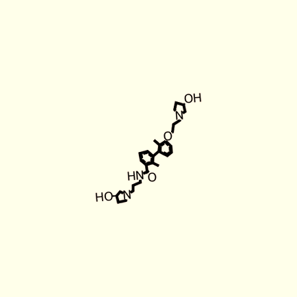 Cc1c(OCCCN2CC[C@@H](O)C2)cccc1-c1cccc(C(=O)NCCCN2CC[C@@H](O)C2)c1C